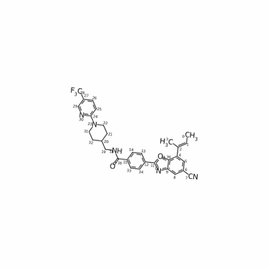 C/C=C(\C)c1cc(C#N)cc2nc(-c3ccc(C(=O)NCC4CCN(c5ccc(C(F)(F)F)cn5)CC4)cc3)oc12